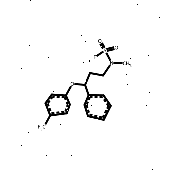 CN(CCC(Oc1ccc(C(F)(F)F)cc1)c1ccccc1)S(=O)(=O)F